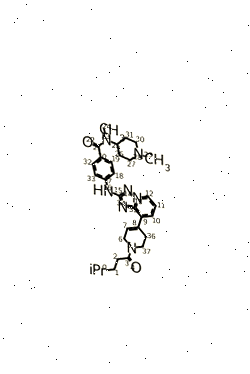 CC(C)CCC(=O)N1CC=C(c2cccn3nc(Nc4ccc(C(=O)N(C)C5CCN(C)CC5)cc4)nc23)CC1